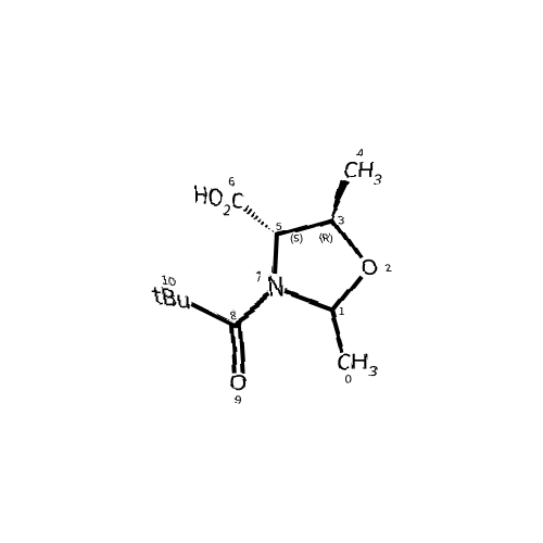 CC1O[C@H](C)[C@@H](C(=O)O)N1C(=O)C(C)(C)C